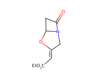 CCOC(=O)/C=C1/CN2C(=O)CC2O1